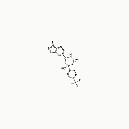 C[C@H]1CC(O)(c2ccc(C(F)(F)F)cc2)C[C@@H](c2cnc3c(cnn3C)c2)N1